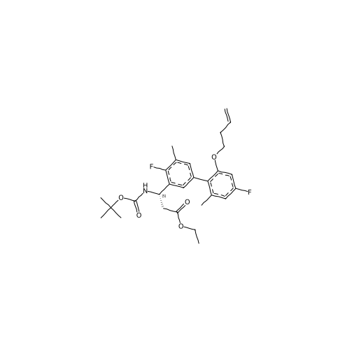 C=CCCOc1cc(F)cc(C)c1-c1cc(C)c(F)c([C@H](CC(=O)OCC)NC(=O)OC(C)(C)C)c1